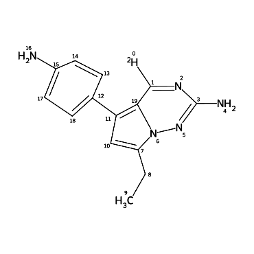 [2H]c1nc(N)nn2c(CC)cc(-c3ccc(N)cc3)c12